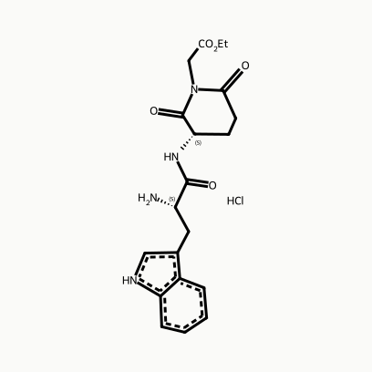 CCOC(=O)CN1C(=O)CC[C@H](NC(=O)[C@@H](N)Cc2c[nH]c3ccccc23)C1=O.Cl